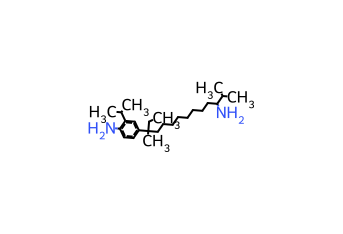 CCC(C)(CCCCCCCCC(N)C(C)C)c1ccc(N)c(C(C)C)c1